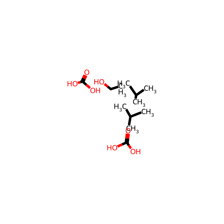 CC(C)C.CC(C)C.CCO.O=C(O)O.O=C(O)O